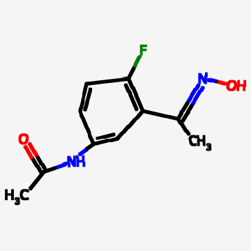 CC(=O)Nc1ccc(F)c(C(C)=NO)c1